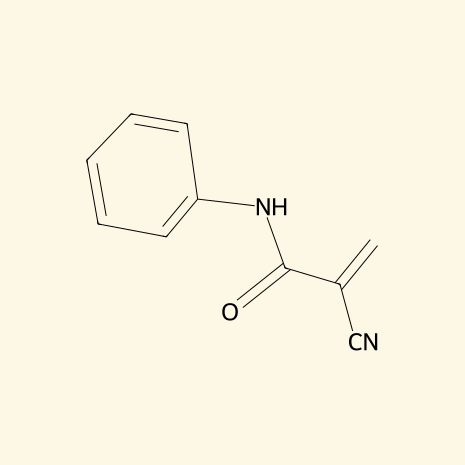 C=C(C#N)C(=O)Nc1ccccc1